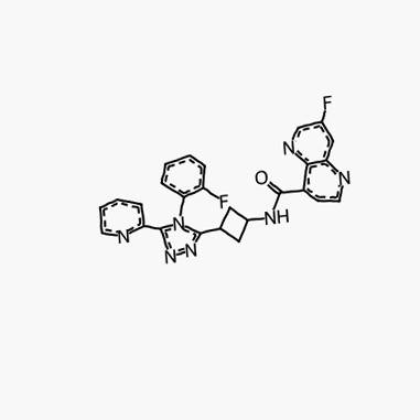 O=C(NC1CC(c2nnc(-c3ccccn3)n2-c2ccccc2F)C1)c1ccnc2cc(F)cnc12